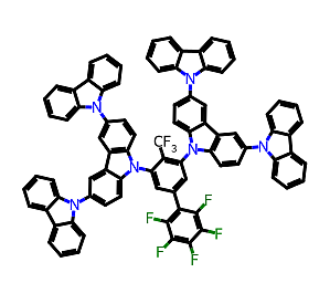 Fc1c(F)c(F)c(-c2cc(-n3c4ccc(-n5c6ccccc6c6ccccc65)cc4c4cc(-n5c6ccccc6c6ccccc65)ccc43)c(C(F)(F)F)c(-n3c4ccc(-n5c6ccccc6c6ccccc65)cc4c4cc(-n5c6ccccc6c6ccccc65)ccc43)c2)c(F)c1F